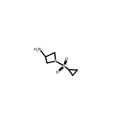 NC1CN(S(=O)(=O)C2CC2)C1